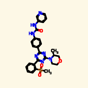 C[C@H]1COCCN1c1nc(-c2ccc(NC(=O)Nc3cccnc3)cc2)nc(-c2ccccc2S(C)(=O)=O)n1